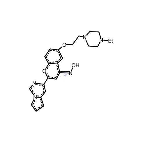 CCN1CCN(CCOc2ccc3oc(-c4cc5cccn5cn4)c/c(=N/O)c3c2)CC1